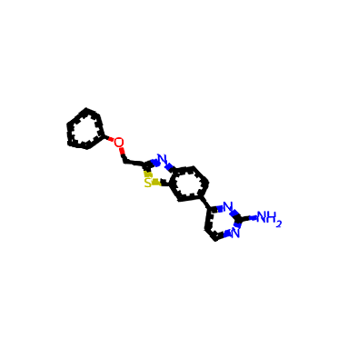 Nc1nccc(-c2ccc3nc(COc4ccccc4)sc3c2)n1